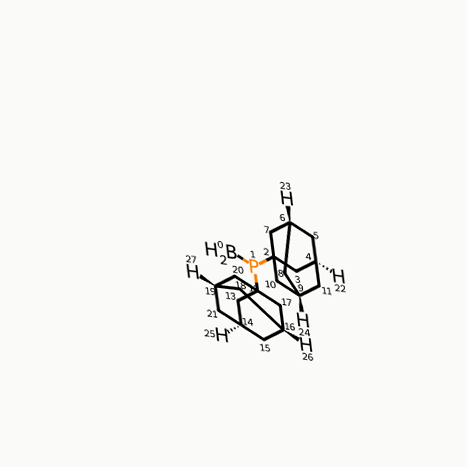 BP(C12C[C@H]3C[C@@H](C1)C[C@@H](C2)C3)C12C[C@H]3C[C@@H](C1)C[C@@H](C2)C3